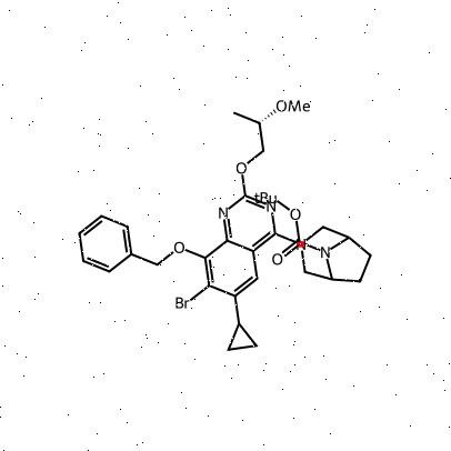 CO[C@@H](C)COc1nc(N2CC3CCC(C2)N3C(=O)OC(C)(C)C)c2cc(C3CC3)c(Br)c(OCc3ccccc3)c2n1